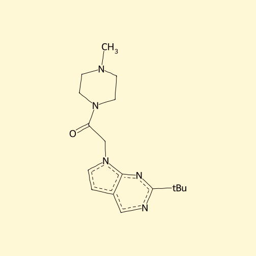 CN1CCN(C(=O)Cn2ccc3cnc(C(C)(C)C)nc32)CC1